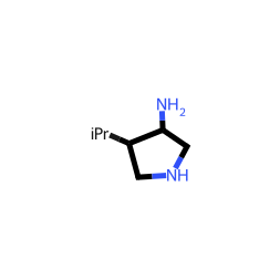 CC(C)C1CNCC1N